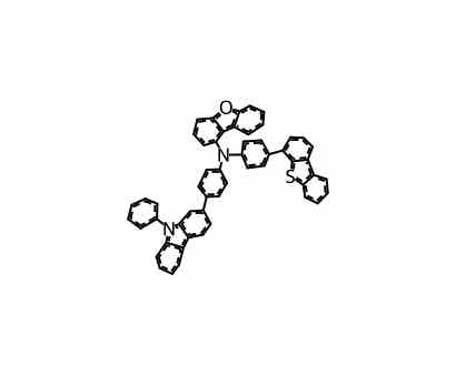 c1ccc(-n2c3ccccc3c3ccc(-c4ccc(N(c5ccc(-c6cccc7c6sc6ccccc67)cc5)c5cccc6oc7ccccc7c56)cc4)cc32)cc1